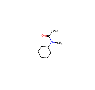 [CH2]OC(=O)N(C)C1CCCCC1